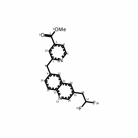 COC(=O)c1ccnc(Cc2ccc3ncc(CC(F)F)cc3c2)c1